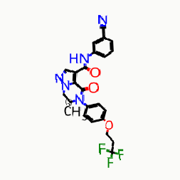 C[C@H]1Cn2ncc(C(=O)Nc3cccc(C#N)c3)c2C(=O)N1c1ccc(OCCC(F)(F)F)cc1